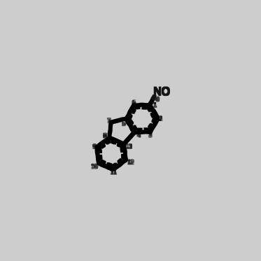 O=Nc1ccc2c(c1)Cc1ccccc1-2